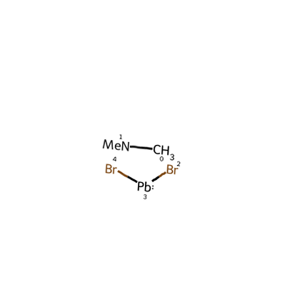 CNC.[Br][Pb][Br]